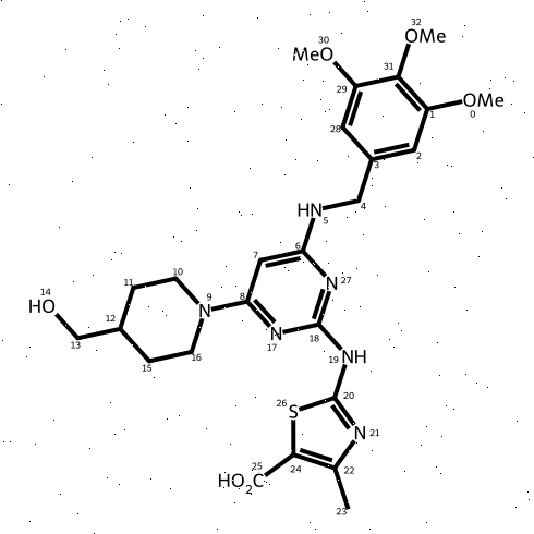 COc1cc(CNc2cc(N3CCC(CO)CC3)nc(Nc3nc(C)c(C(=O)O)s3)n2)cc(OC)c1OC